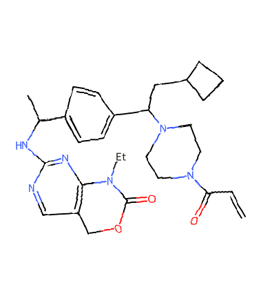 C=CC(=O)N1CCN(C(CC2CCC2)c2ccc(C(C)Nc3ncc4c(n3)N(CC)C(=O)OC4)cc2)CC1